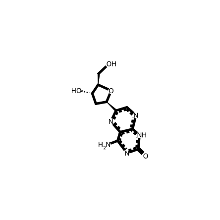 Nc1nc(=O)[nH]c2ncc([C@H]3C[C@H](O)[C@@H](CO)O3)nc12